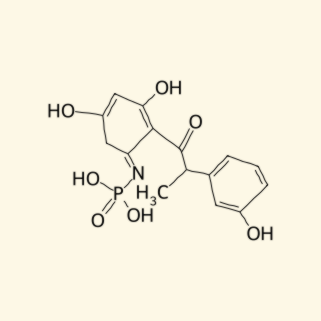 CC(C(=O)C1=C(O)C=C(O)CC1=NP(=O)(O)O)c1cccc(O)c1